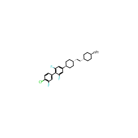 CCC[C@H]1CC[C@H](CC[C@H]2CC[C@H](c3cc(F)c(-c4ccc(Cl)c(F)c4)c(F)c3)CC2)CC1